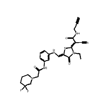 C#CCNC(=O)C(C#N)=c1sc(=CNc2cccc(NC(=O)CN3CCCC(F)(F)C3)c2)c(=O)n1CC